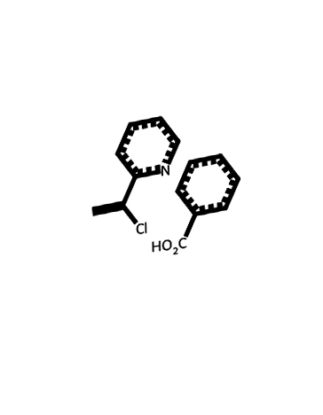 C=C(Cl)c1ccccn1.O=C(O)c1ccccc1